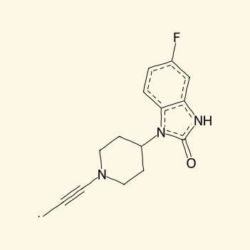 [CH2]C#CN1CCC(n2c(=O)[nH]c3cc(F)ccc32)CC1